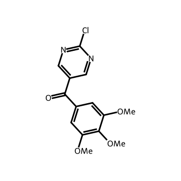 COc1cc(C(=O)c2cnc(Cl)nc2)cc(OC)c1OC